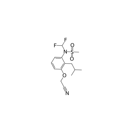 CC(C)Cc1c(OCC#N)cccc1N(C(F)F)S(C)(=O)=O